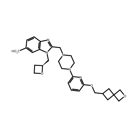 O=C(O)c1ccc2nc(CN3CCN(c4cccc(OCC5CC6(COC6)C5)n4)CC3)n(C[C@@H]3CCO3)c2c1